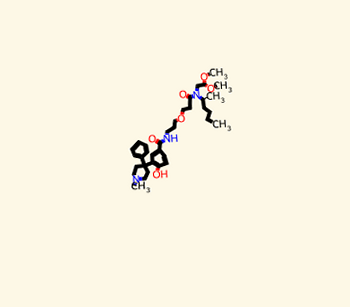 CCCC[C@@H](C)N(CC(OC)OC)C(=O)CCOCCCNC(=O)c1ccc(O)c(C2(c3ccccc3)CCN(C)CC2)c1